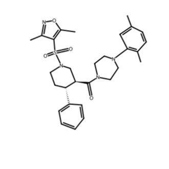 Cc1ccc(C)c(N2CCN(C(=O)[C@@H]3CN(S(=O)(=O)c4c(C)noc4C)CC[C@H]3c3ccccc3)CC2)c1